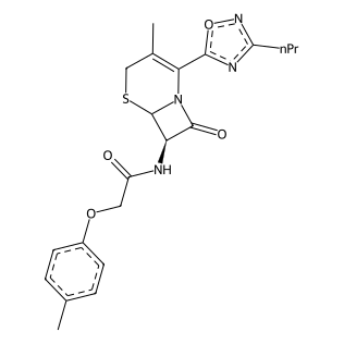 CCCc1noc(C2=C(C)CSC3[C@H](NC(=O)COc4ccc(C)cc4)C(=O)N23)n1